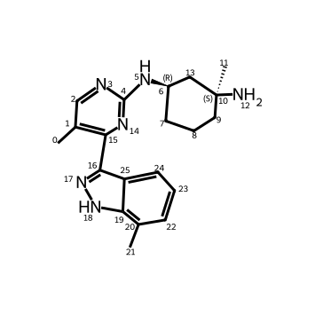 Cc1cnc(N[C@@H]2CCC[C@](C)(N)C2)nc1-c1n[nH]c2c(C)cccc12